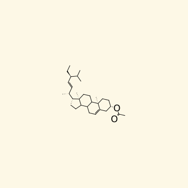 CC[C@H](/C=C/[C@@H](C)[C@H]1CCC2C3CC=C4C[C@@H](OC(C)=O)CC[C@]4(C)C3CC[C@@]21C)C(C)C